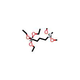 CCO[Si](CCC[Si](C)(OC)OC)(OCC)OCC